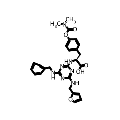 CN(C)C(=O)Oc1ccc(C[C@H](Nc2nc(NCc3ccccc3)nc(NCc3ccco3)n2)C(=O)O)cc1